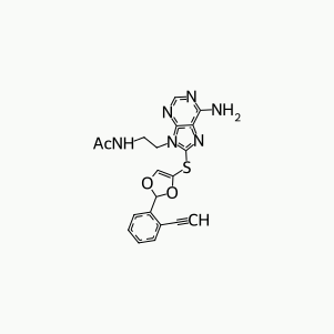 C#Cc1ccccc1C1OC=C(Sc2nc3c(N)ncnc3n2CCNC(C)=O)O1